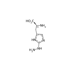 NNc1ncc(C[C@H](N)C(=O)O)[nH]1